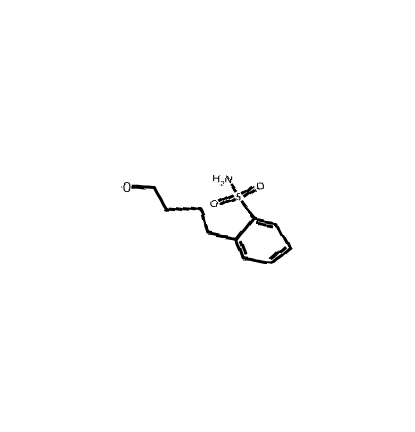 NS(=O)(=O)c1ccccc1CCCC[O]